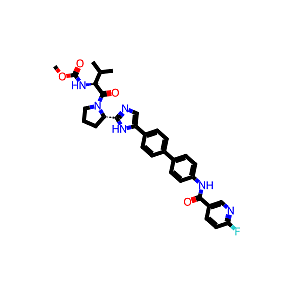 COC(=O)N[C@H](C(=O)N1CCC[C@H]1c1ncc(-c2ccc(-c3ccc(NC(=O)c4ccc(F)nc4)cc3)cc2)[nH]1)C(C)C